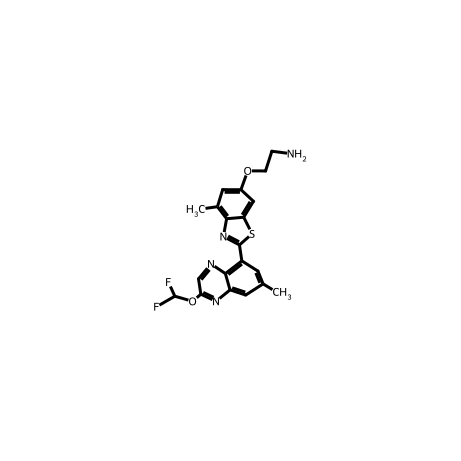 Cc1cc(-c2nc3c(C)cc(OCCN)cc3s2)c2ncc(OC(F)F)nc2c1